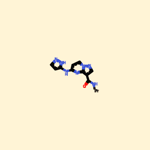 CC(C)NC(=O)c1cnn2ccc(Nc3ccn[nH]3)nc12